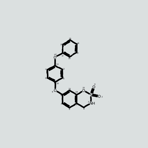 O=S1(=O)NCc2ccc(Oc3ccc(Oc4ccccc4)cc3)cc2O1